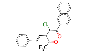 O=C(c1ccc2ccccc2c1)C(Cl)C(C=Cc1ccccc1)C(=O)C(F)(F)F